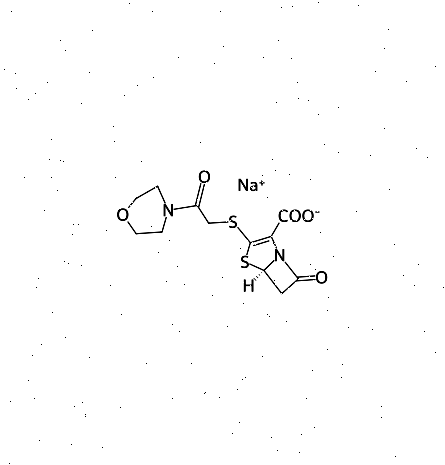 O=C([O-])C1=C(SCC(=O)N2CCOCC2)S[C@@H]2CC(=O)N12.[Na+]